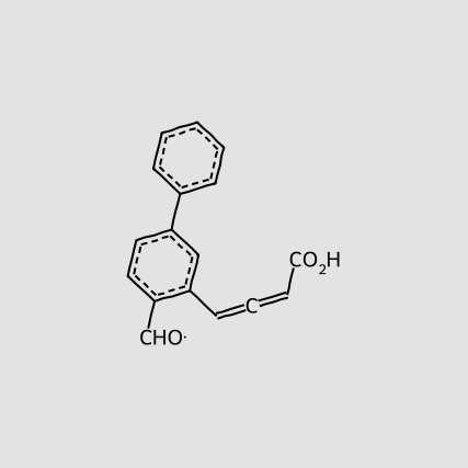 O=[C]c1ccc(-c2ccccc2)cc1C=C=CC(=O)O